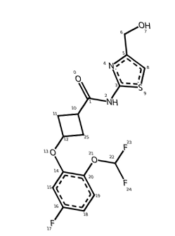 O=C(Nc1nc(CO)cs1)C1CC(Oc2cc(F)ccc2OC(F)F)C1